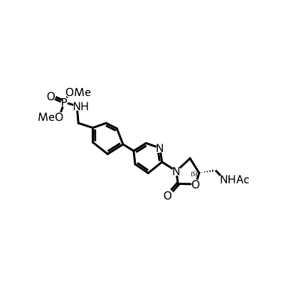 COP(=O)(NCc1ccc(-c2ccc(N3C[C@H](CNC(C)=O)OC3=O)nc2)cc1)OC